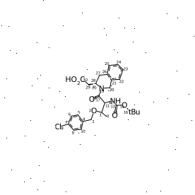 CC(OCc1ccc(Cl)cc1)C(NC(=O)OC(C)(C)C)C(=O)N1Cc2ccccc2C[C@@H]1CC(=O)O